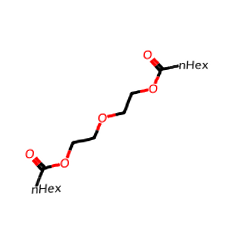 CCCCCCC(=O)OCCOCCOC(=O)CCCCCC